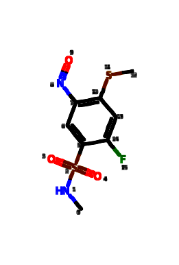 CNS(=O)(=O)c1cc(N=O)c(SC)cc1F